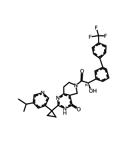 CC(C)c1cncc(C2(c3nc4c(c(=O)[nH]3)CN(C(=O)[C@H](O)c3cccc(-c5ccc(C(F)(F)F)cc5)c3)CC4)CC2)c1